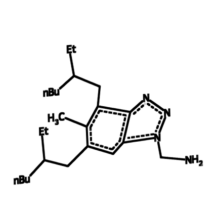 CCCCC(CC)Cc1cc2c(nnn2CN)c(CC(CC)CCCC)c1C